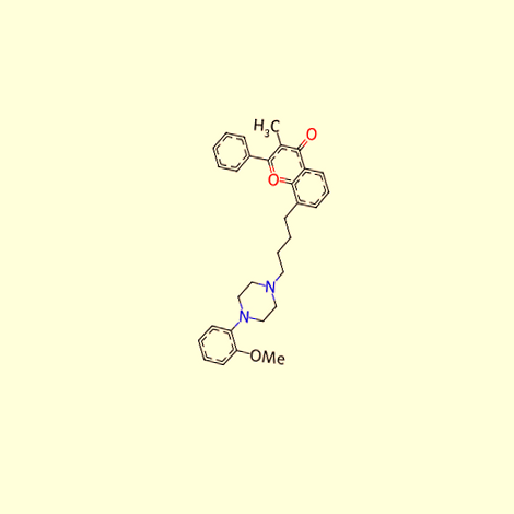 COc1ccccc1N1CCN(CCCCc2cccc3c(=O)c(C)c(-c4ccccc4)oc23)CC1